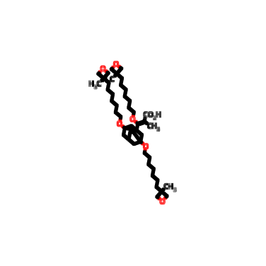 CC(C(=O)O)=C(OCCCCCCCC1(C)COC1)C12CC3CC(OCCCCCCCC4(C)COC4)(CC(OCCCCCCCC4(C)COC4)(C3)C1)C2